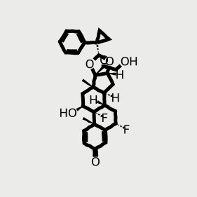 C[C@]12C=CC(=O)C=C1[C@@H](F)C[C@H]1[C@@H]3C[C@H]4O[C@@H](C5(c6ccccc6)CC5)O[C@@]4(C(=O)CO)[C@@]3(C)C[C@H](O)[C@@]12F